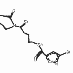 O=C(NCCCC(=O)N1CCCC1=O)c1cc(Br)no1